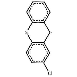 Clc1ccc2c(c1)[CH]c1ccccc1S2